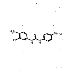 CC(=O)Nc1ccc(NC(=S)Nc2ccc(N)c(Cl)c2)cc1